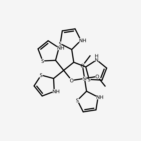 CO[Si](OC)(OC(C1NC=CS1)(C1NC=CS1)C(C1NC=CS1)C1NC=CS1)C1NC=CS1